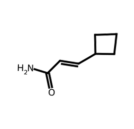 NC(=O)C=CC1CCC1